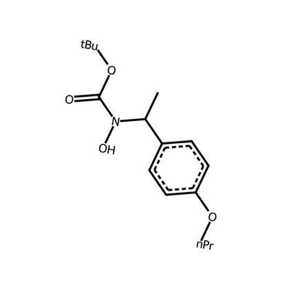 CCCOc1ccc(C(C)N(O)C(=O)OC(C)(C)C)cc1